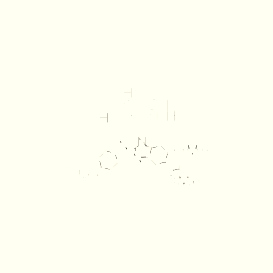 COC(=O)c1cc2nc(Nc3ccc(OC(F)(F)F)cc3)n(C3CC(C)(C)CC(C)(C)C3)c2cc1OC